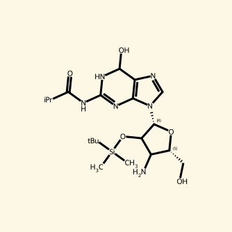 CC(C)C(=O)NC1=Nc2c(ncn2[C@@H]2O[C@H](CO)C(N)C2O[Si](C)(C)C(C)(C)C)C(O)N1